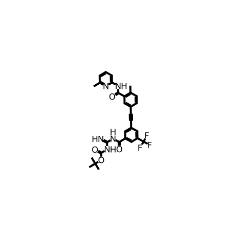 Cc1cccc(NC(=O)c2cc(C#Cc3cc(C(=O)NC(=N)NC(=O)OC(C)(C)C)cc(C(F)(F)F)c3)ccc2C)n1